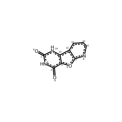 O=c1[nH]c(=O)c2oc3ncccc3c2[nH]1